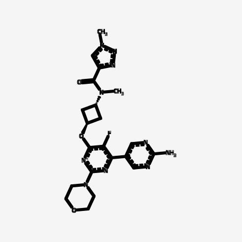 Cn1cc(C(=O)N(C)[C@H]2C[C@H](Oc3nc(N4CCOCC4)nc(-c4cnc(N)nc4)c3F)C2)nn1